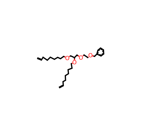 C=CCCCCCCCOCC(COCCOCc1ccccc1)OCCCCCCCC=C